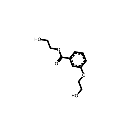 O=C(OCCO)c1cccc(OCCO)c1